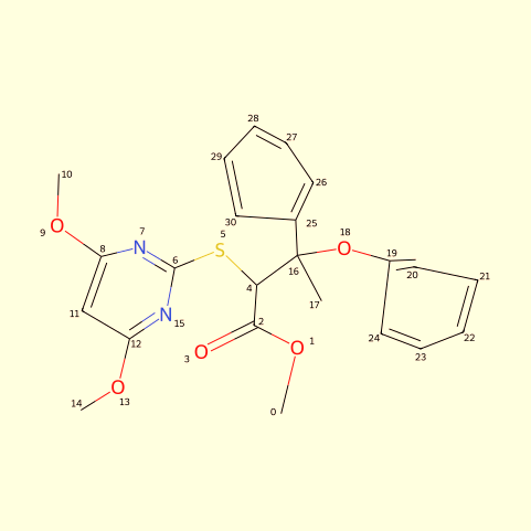 COC(=O)C(Sc1nc(OC)cc(OC)n1)C(C)(Oc1ccccc1)c1ccccc1